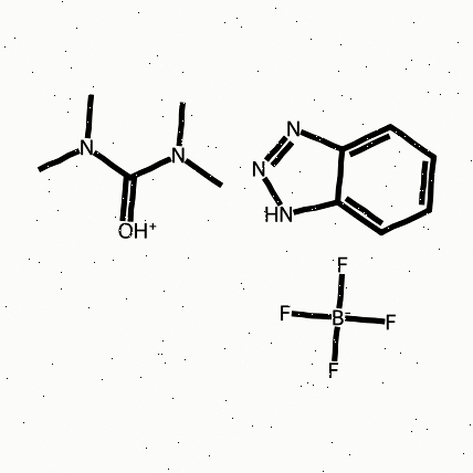 CN(C)C(=[OH+])N(C)C.F[B-](F)(F)F.c1ccc2[nH]nnc2c1